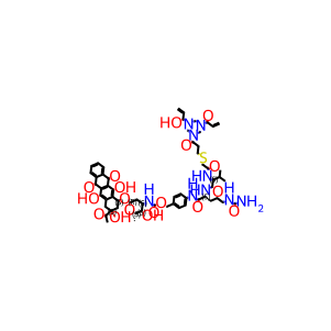 C=CC(=O)N1CN(C(=O)CCSCC(=O)N[C@H](C(=O)N[C@@H](CCCNC(N)=O)C(=O)Nc2ccc(COC(=O)N[C@H]3C[C@H](O[C@H]4C[C@](O)(C(C)=O)Cc5c(O)c6c(c(O)c54)C(=O)c4ccccc4C6=O)O[C@@H](C)[C@H]3O)cc2)C(C)C)CN(C(O)C=C)C1